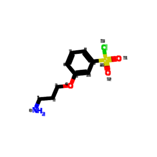 NCCCOc1cccc(S(=O)(=O)Cl)c1